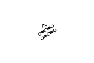 O=C=O.O=C=O.[Fe]